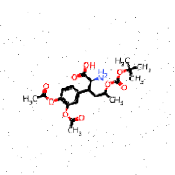 CC(=O)Oc1ccc(C(CC(C)OC(=O)OC(C)(C)C)[C@H](N)C(=O)O)cc1OC(C)=O